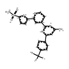 Cc1cc(-c2ccc(C(F)(F)F)cc2)nc(-c2ccnc(-c3ccc(S(N)(=O)=O)s3)c2)n1